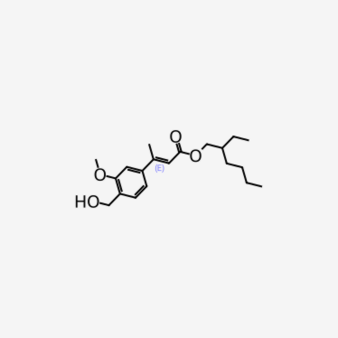 CCCCC(CC)COC(=O)/C=C(\C)c1ccc(CO)c(OC)c1